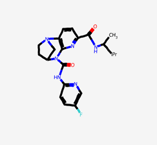 CC(C)C(C)NC(=O)c1ccc2c(n1)N(C(=O)Nc1ccc(F)cn1)C1CCN2C1